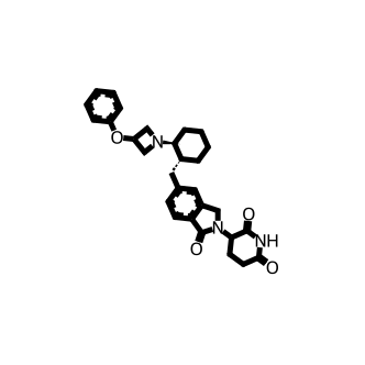 O=C1CCC(N2Cc3cc(C[C@H]4CCCC[C@@H]4N4CC(Oc5ccccc5)C4)ccc3C2=O)C(=O)N1